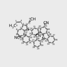 C#Cc1c(/C=C\C)c2ccccc2n1-c1ccccc1-c1cc(C#N)ccc1-c1cccc(-n2c3ccccc3c3cc(C#N)ccc32)c1C#N